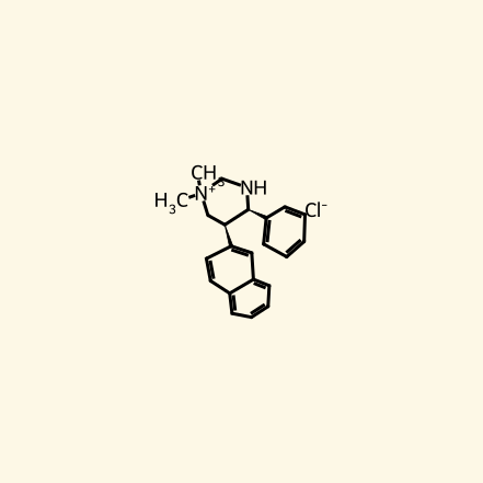 C[N+]1(C)CN[C@@H](c2ccccc2)[C@@H](c2ccc3ccccc3c2)C1.[Cl-]